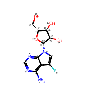 Nc1ncnc2c1c(F)cn2[C@@H]1O[C@H](CO)[C@@H](O)[C@H]1O